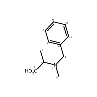 CC(C(=O)O)N(C)Cc1ccccc1